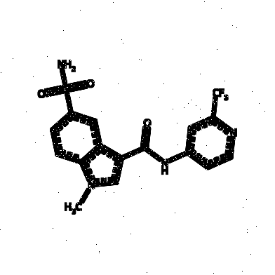 Cn1cc(C(=O)Nc2ccnc(C(F)(F)F)c2)c2cc(S(N)(=O)=O)ccc21